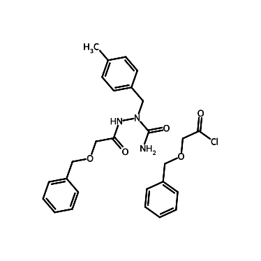 Cc1ccc(CN(NC(=O)COCc2ccccc2)C(N)=O)cc1.O=C(Cl)COCc1ccccc1